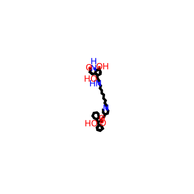 O=C(OCC1CCN(CCCCCCCCCNCC(O)c2ccc(O)c3[nH]c(=O)ccc23)CC1)C(O)(c1ccccc1)C1CCCCCC1